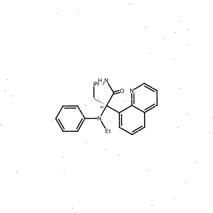 CCN(c1ccccc1)[C@@](CC(C)C)(C(N)=O)c1cccc2cccnc12